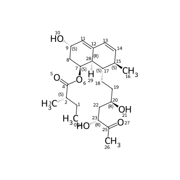 CC[C@H](C)C(=O)O[C@H]1C[C@H](O)C=C2C=C[C@@H](C)[C@H](CC[C@@H](O)C[C@@H](O)C(C)=O)[C@H]21